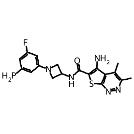 Cc1nnc2sc(C(=O)NC3CN(c4cc(F)cc(P)c4)C3)c(N)c2c1C